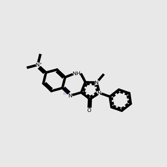 Cc1c(/N=C2/C=CC(=[N+](C)C)C=C2N)c(=O)n(-c2ccccc2)n1C